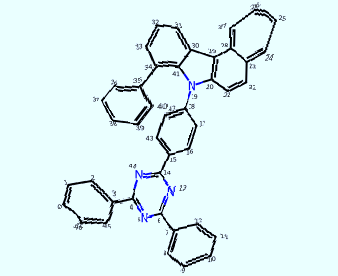 c1ccc(-c2nc(-c3ccccc3)nc(-c3ccc(-n4c5ccc6ccccc6c5c5cccc(-c6ccccc6)c54)cc3)n2)cc1